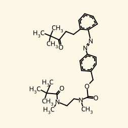 CN(CCN(C)C(=O)C(C)(C)C)C(=O)OCc1ccc(/N=N/c2ccccc2CCC(=O)C(C)(C)C)cc1